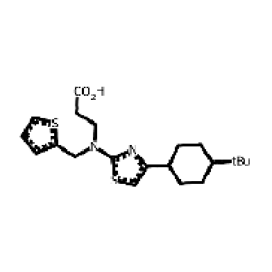 CC(C)(C)C1CCC(c2csc(N(CCC(=O)O)Cc3cccs3)n2)CC1